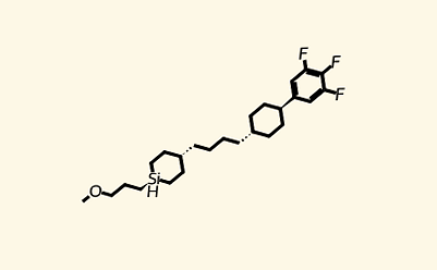 COCCC[Si@H]1CC[C@H](CCCC[C@H]2CC[C@H](c3cc(F)c(F)c(F)c3)CC2)CC1